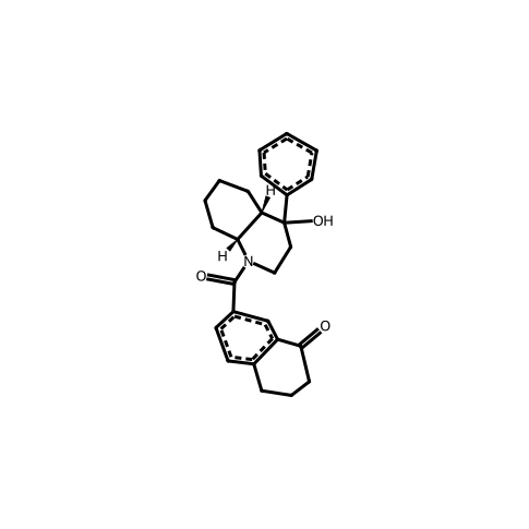 O=C1CCCc2ccc(C(=O)N3CCC(O)(c4ccccc4)[C@H]4CCCC[C@H]43)cc21